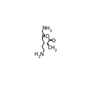 C=CC(=O)O.NCCCCCCN